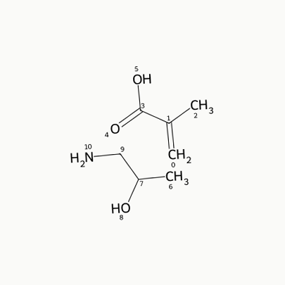 C=C(C)C(=O)O.CC(O)CN